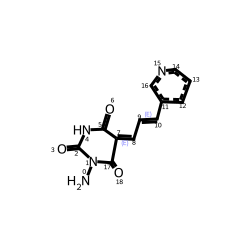 NN1C(=O)NC(=O)/C(=C\C=C\c2cccnc2)C1=O